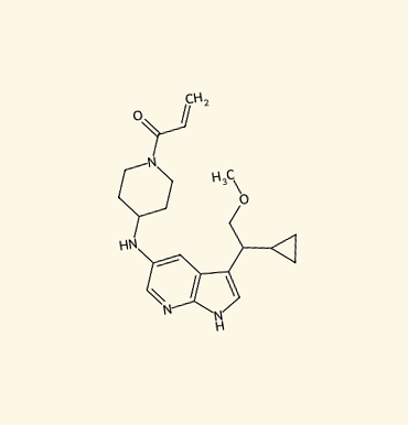 C=CC(=O)N1CCC(Nc2cnc3[nH]cc(C(COC)C4CC4)c3c2)CC1